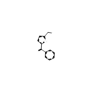 O=C(c1ccccc1)c1ccc(CS)[nH]1